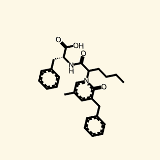 CCCCC(C(=O)N[C@H](Cc1ccccc1)C(=O)O)n1cc(C)cc(Cc2ccccc2)c1=O